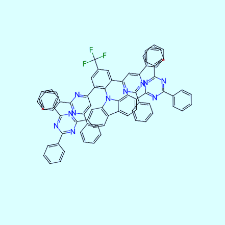 FC(F)(F)c1cc(-c2cc(-c3ccccc3)nc(-c3ccccc3)n2)c(-n2c3cc(-c4nc(-c5ccccc5)nc(-c5ccccc5)n4)ccc3c3ccc(-c4nc(-c5ccccc5)nc(-c5ccccc5)n4)cc32)c(-c2cc(-c3ccccc3)nc(-c3ccccc3)n2)c1